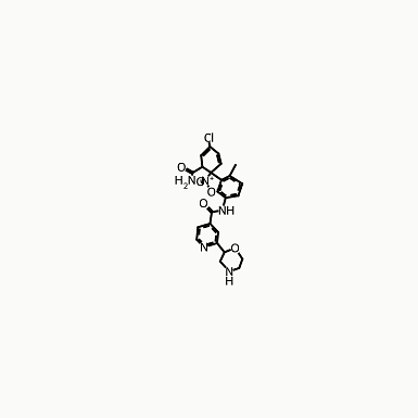 Cc1ccc(NC(=O)c2ccnc(C3CNCCO3)c2)cc1C1([N+](=O)[O-])C=CC(Cl)=CC1C(N)=O